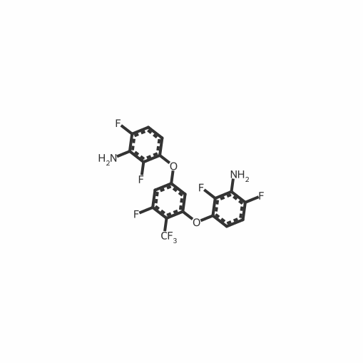 Nc1c(F)ccc(Oc2cc(F)c(C(F)(F)F)c(Oc3ccc(F)c(N)c3F)c2)c1F